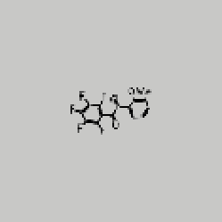 COc1ccccc1[P](=O)C(=O)c1c(F)c(F)c(F)c(F)c1F